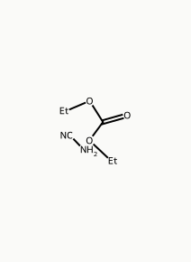 CCOC(=O)OCC.N#CN